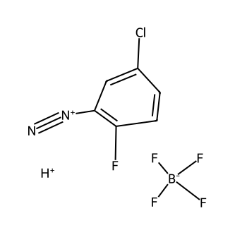 F[B-](F)(F)F.N#[N+]c1cc(Cl)ccc1F.[H+]